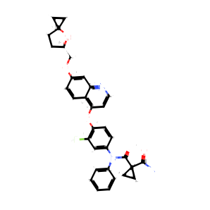 NC(=O)C1(C(=O)N(c2ccccc2)c2ccc(Oc3ccnc4cc(OC[C@H]5CCC6(CC6)O5)ccc34)c(F)c2)CC1